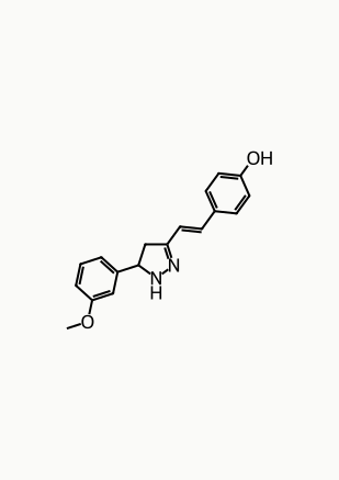 COc1cccc(C2CC(/C=C/c3ccc(O)cc3)=NN2)c1